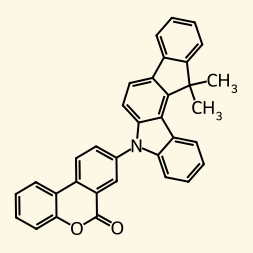 CC1(C)c2ccccc2-c2ccc3c(c21)c1ccccc1n3-c1ccc2c(c1)c(=O)oc1ccccc12